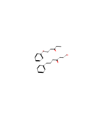 CCC(=O)CCC(=O)c1ccccc1.O=CCCC(=O)CCCc1ccccc1